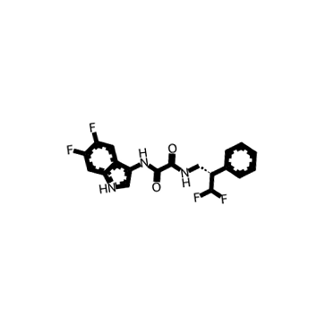 O=C(NC[C@H](c1ccccc1)C(F)F)C(=O)Nc1c[nH]c2cc(F)c(F)cc12